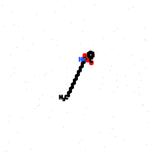 CCCCCCCCCCCCCCCCCCNS(=O)(=O)C1=CC=CCC1=C=O